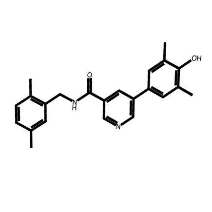 Cc1ccc(C)c(CNC(=O)c2cncc(-c3cc(C)c(O)c(C)c3)c2)c1